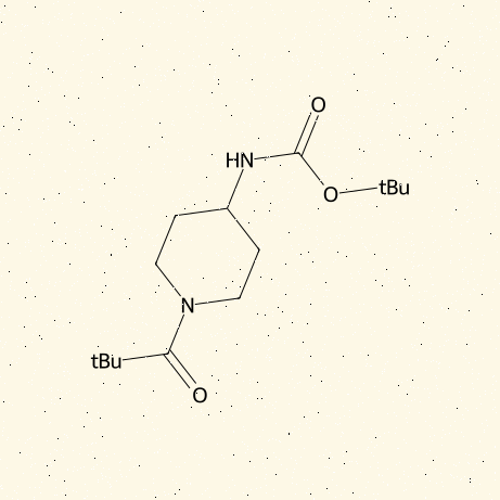 CC(C)(C)OC(=O)NC1CCN(C(=O)C(C)(C)C)CC1